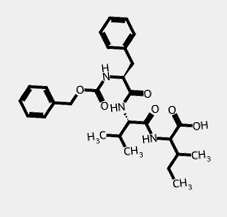 CCC(C)C(NC(=O)[C@@H](NC(=O)[C@H](Cc1ccccc1)NC(=O)OCc1ccccc1)C(C)C)C(=O)O